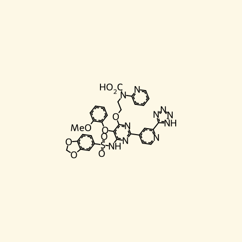 COc1ccccc1Oc1c(NS(=O)(=O)c2ccc3c(c2)OCO3)nc(-c2ccnc(-c3nnn[nH]3)c2)nc1OCCN(C(=O)O)c1ccccn1